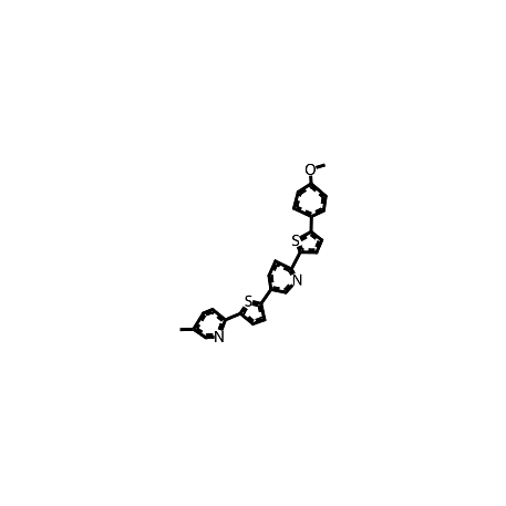 COc1ccc(-c2ccc(-c3ccc(-c4ccc(-c5ccc(C)cn5)s4)cn3)s2)cc1